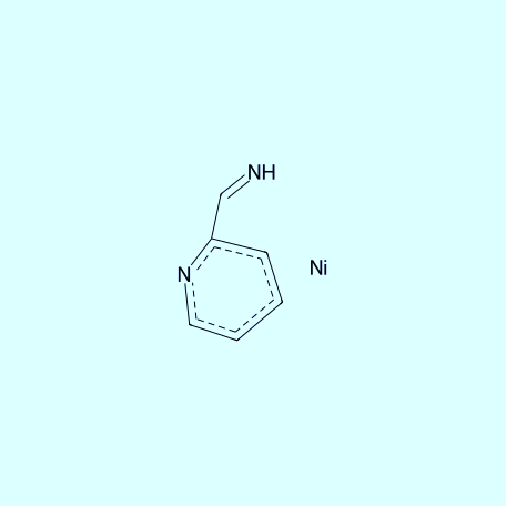 N=Cc1ccccn1.[Ni]